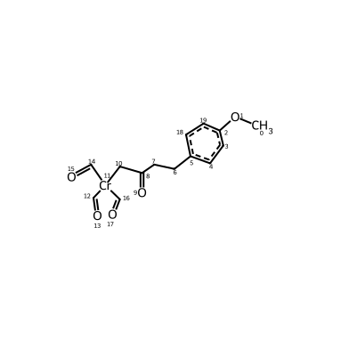 COc1ccc(CCC(=O)[CH2][Cr]([CH]=O)([CH]=O)[CH]=O)cc1